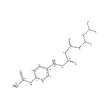 CC(C)CC(C)CC(C)CC(C)CNc1ccc(CC(=O)O)cc1